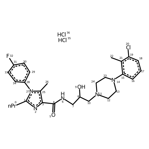 CCCc1nc(C(=O)NCC(O)CN2CCN(c3cccc(Cl)c3C)CC2)c(C)n1-c1ccc(F)cc1.Cl.Cl